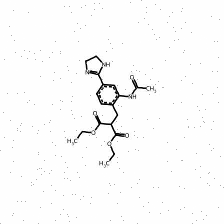 CCOC(=O)C(Cc1ccc(C2=NCCN2)cc1NC(C)=O)C(=O)OCC